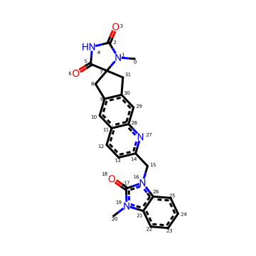 CN1C(=O)NC(=O)C12Cc1cc3ccc(Cn4c(=O)n(C)c5ccccc54)nc3cc1C2